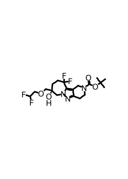 CC(C)(C)OC(=O)N1CCc2nn3c(c2C1)C(F)(F)CC[C@@](O)(COCC(F)F)C3